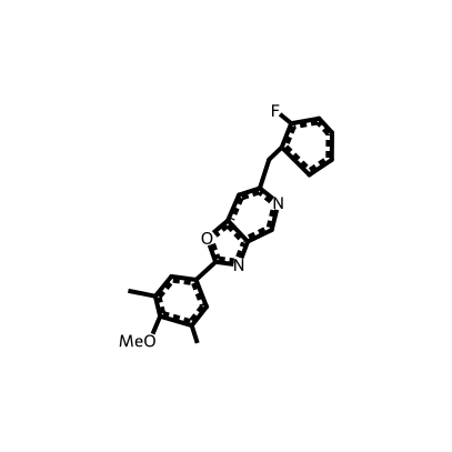 COc1c(C)cc(-c2nc3cnc(Cc4ccccc4F)cc3o2)cc1C